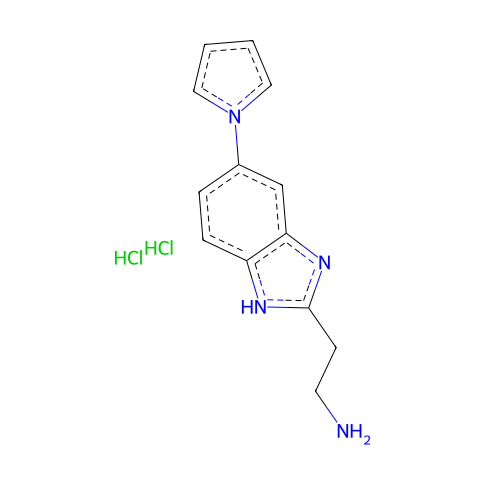 Cl.Cl.NCCc1nc2cc(-n3cccc3)ccc2[nH]1